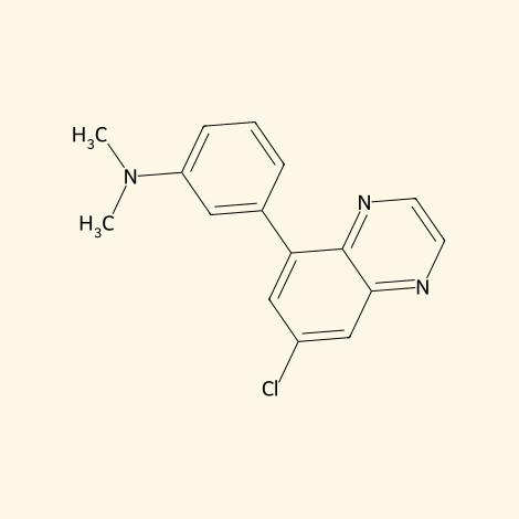 CN(C)c1cccc(-c2cc(Cl)cc3nccnc23)c1